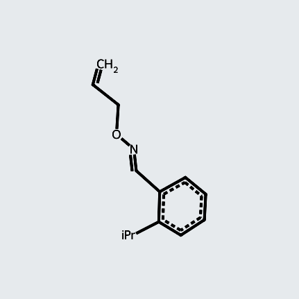 C=CCO/N=C/c1ccccc1C(C)C